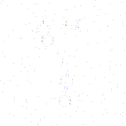 C=C1CCc2ccc(OCCCCN3CCN(c4cccc(Cl)c4Cl)CC3)cc2N1COC(=O)CN(CCC)CCC